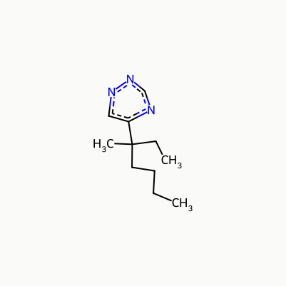 CCCCC(C)(CC)c1cnncn1